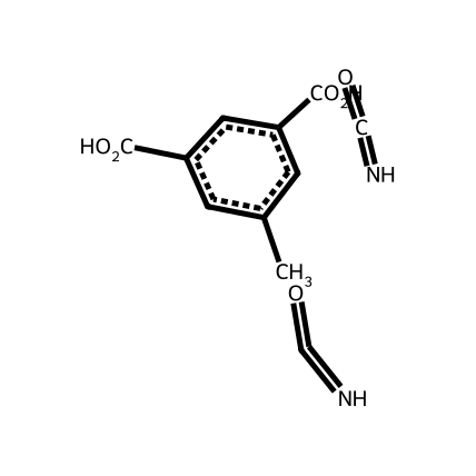 Cc1cc(C(=O)O)cc(C(=O)O)c1.N=C=O.N=C=O